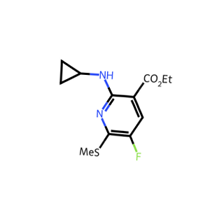 CCOC(=O)c1cc(F)c(SC)nc1NC1CC1